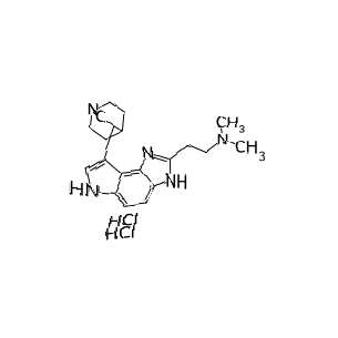 CN(C)CCc1nc2c(ccc3[nH]cc(C4CN5CCC4CC5)c32)[nH]1.Cl.Cl